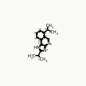 CC(C)c1nc2ncc3c(C(C)C)cccc3c2[nH]1